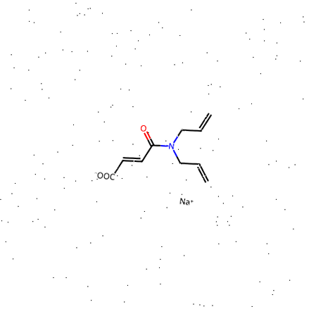 C=CCN(CC=C)C(=O)C=CC(=O)[O-].[Na+]